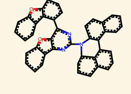 c1ccc2c3c(ccc2c1)N(c1nc(-c2cccc4oc5ccccc5c24)c2oc4ccccc4c2n1)c1cccc2cccc-3c12